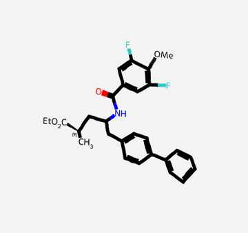 CCOC(=O)[C@H](C)CC(Cc1ccc(-c2ccccc2)cc1)NC(=O)c1cc(F)c(OC)c(F)c1